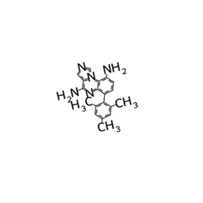 Cc1cc(C)c(-c2ccc(N)c3c2nc(N)c2cncn23)c(C)c1